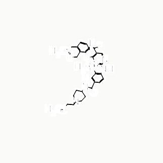 COCCN1CCC(NC(=O)c2ccc(Nc3ncc(C(F)(F)F)c(Oc4cccc5c4CON(C)C5)n3)c(OC)c2)CC1